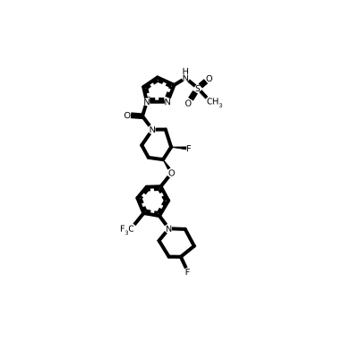 CS(=O)(=O)Nc1ccn(C(=O)N2CC[C@H](Oc3ccc(C(F)(F)F)c(N4CCC(F)CC4)c3)[C@H](F)C2)n1